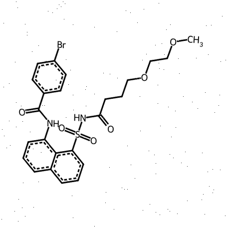 COCCOCCCC(=O)NS(=O)(=O)c1cccc2cccc(NC(=O)c3ccc(Br)cc3)c12